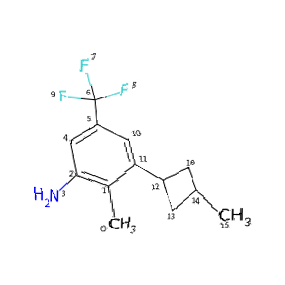 Cc1c(N)cc(C(F)(F)F)cc1C1CC(C)C1